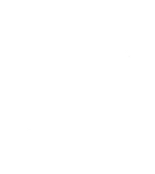 CCCCCCCCCCCCCC/C=C\C=CC(=O)O